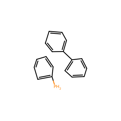 Pc1ccccc1.c1ccc(-c2ccccc2)cc1